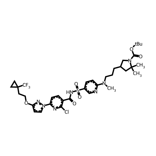 CN(CCCC1CN(C(=O)OC(C)(C)C)C(C)(C)C1)c1ccc(S(=O)(=O)NC(=O)c2ccc(-n3ccc(OCCC4(C(F)(F)F)CC4)n3)nc2Cl)cn1